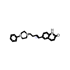 O=c1ccc2cc(/C=C/CCN3CCN(c4ccccc4)CC3)ccc2[nH]1